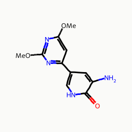 COc1cc(-c2c[nH]c(=O)c(N)c2)nc(OC)n1